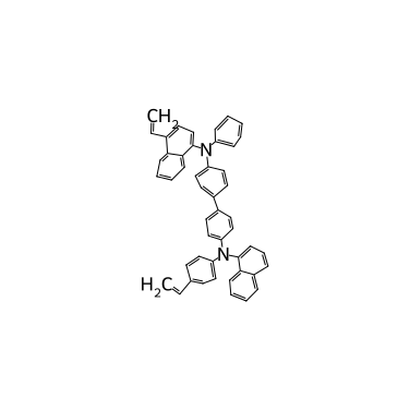 C=Cc1ccc(N(c2ccc(-c3ccc(N(c4ccccc4)c4ccc(C=C)c5ccccc45)cc3)cc2)c2cccc3ccccc23)cc1